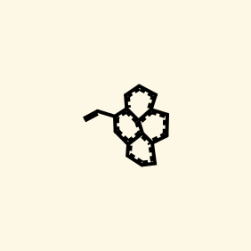 C=Cc1cc2cccc3ccc4cccc1c4c32